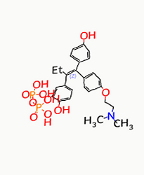 CC/C(=C(\c1ccc(O)cc1)c1ccc(OCCN(C)C)cc1)c1ccc(O)cc1.O=P(O)(O)OP(=O)(O)O